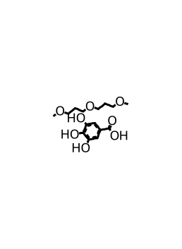 COCCCOCCCOC.O=C(O)c1cc(O)c(O)c(O)c1